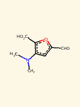 CN(C)c1cc(C=O)oc1C(=O)O